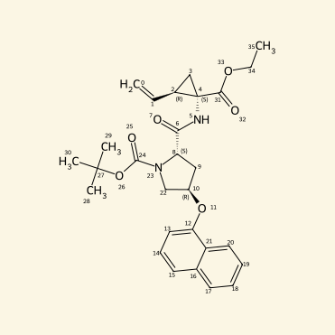 C=C[C@H]1C[C@@]1(NC(=O)[C@@H]1C[C@@H](Oc2cccc3ccccc23)CN1C(=O)OC(C)(C)C)C(=O)OCC